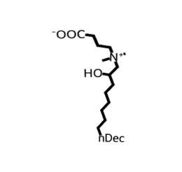 CCCCCCCCCCCCCCCCC(O)C[N+](C)(C)CCCC(=O)[O-]